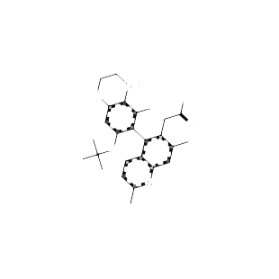 Cc1ccc2c(-c3c(OC(C)(C)C)cc4c(c3Cl)NCCO4)c(CC(=O)O)c(C)cc2n1